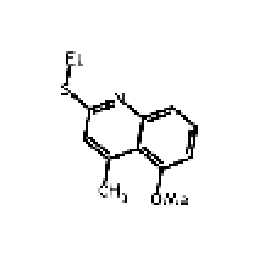 CCSc1cc(C)c2c(OC)cccc2n1